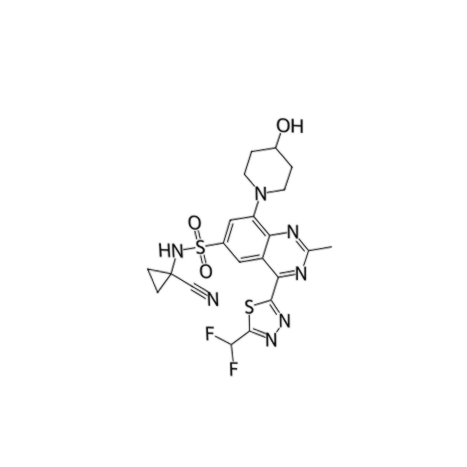 Cc1nc(-c2nnc(C(F)F)s2)c2cc(S(=O)(=O)NC3(C#N)CC3)cc(N3CCC(O)CC3)c2n1